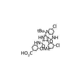 COc1cc(C(=O)O)ccc1NC(=O)[C@@H]1N[C@@H](CC(C)(C)C)[C@@]2(C(=O)Nc3cc(Cl)cnc32)[C@H]1c1cccc(Cl)c1